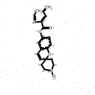 C=C/C=C(\N=C/C)C(=O)Oc1ccc2c(c1)C=CC1(CCN(CC)CC1)O2